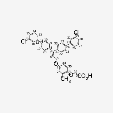 Cc1cc(OCC=C(c2ccc(-c3cccc(Cl)c3)cc2)c2ccc(-c3cccc(Cl)c3)cc2)ccc1OCC(=O)O